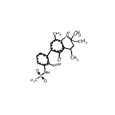 COc1c(NS(C)(=O)=O)cccc1-c1cc(C)c2c(c1Cl)C(C)CC(C)(C)N2